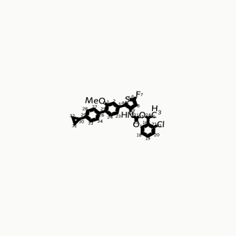 COc1cc(-c2sc(F)cc2NC(=O)OC(C)c2ccccc2Cl)ccc1-c1ccc(C2CC2)cc1